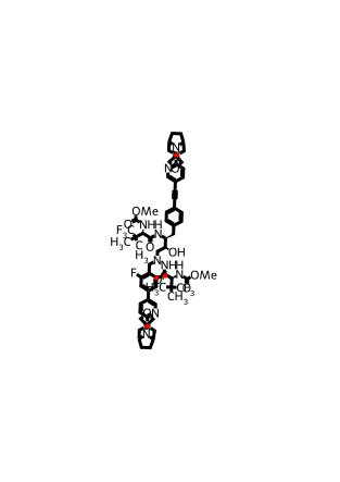 COC(=O)N[C@H](C(=O)N[C@@H](Cc1ccc(C#Cc2ccc(N3CC4CCC(C3)N4C3COC3)nc2)cc1)[C@@H](O)CN(Cc1c(F)cc(-c2ccc(N3CC4CCC(C3)N4C3COC3)nc2)cc1F)NC(=O)[C@@H](NC(=O)OC)C(C)(C)C(F)(F)F)C(C)(C)C(F)(F)F